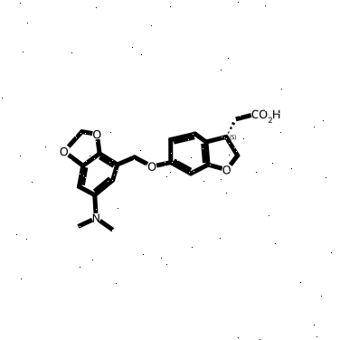 CN(C)c1cc(COc2ccc3c(c2)OC[C@H]3CC(=O)O)c2c(c1)OCO2